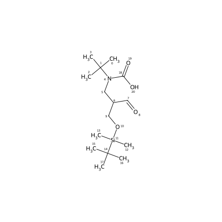 CC(C)(C)N(CC(C=O)CO[Si](C)(C)C(C)(C)C)C(=O)O